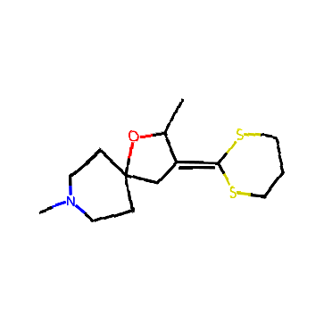 CC1OC2(CCN(C)CC2)CC1=C1SCCCS1